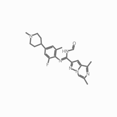 Cc1cn2nc(/C(=N/c3c(C)cc(C4CCN(C)CC4)cc3F)NC=O)cc2c(C)n1